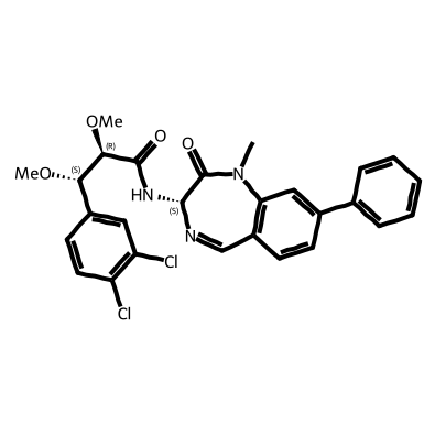 CO[C@@H](C(=O)N[C@H]1N=Cc2ccc(-c3ccccc3)cc2N(C)C1=O)[C@@H](OC)c1ccc(Cl)c(Cl)c1